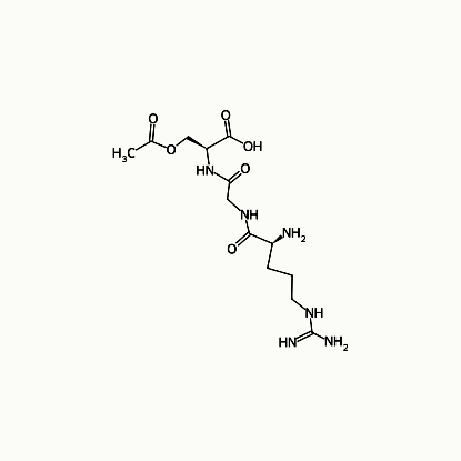 CC(=O)OC[C@H](NC(=O)CNC(=O)[C@@H](N)CCCNC(=N)N)C(=O)O